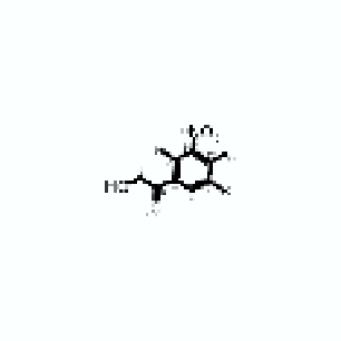 Cc1cc(C(=O)CO)c(C)c([N+](=O)[O-])c1C